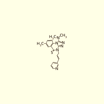 Cc1ccc2c(c1)c(=S)n(CC=Cc1cccnc1)c1nnc(N(C)C)n21